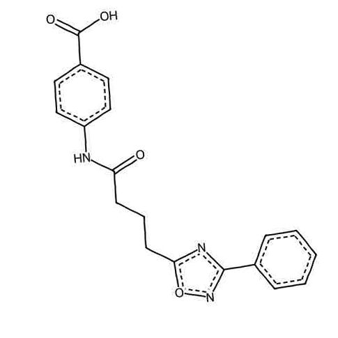 O=C(CCCc1nc(-c2ccccc2)no1)Nc1ccc(C(=O)O)cc1